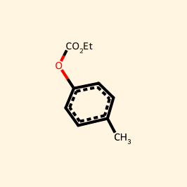 C[CH]OC(=O)Oc1ccc(C)cc1